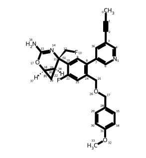 CC#Cc1cncc(-c2cc([C@@]3(CF)N=C(N)O[C@@H]4C[C@@H]43)c(F)cc2COCc2ccc(OC)cc2)c1